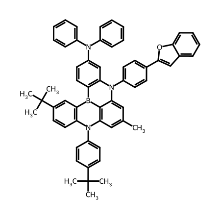 Cc1cc2c3c(c1)N(c1ccc(-c4cc5ccccc5o4)cc1)c1cc(N(c4ccccc4)c4ccccc4)ccc1B3c1cc(C(C)(C)C)ccc1N2c1ccc(C(C)(C)C)cc1